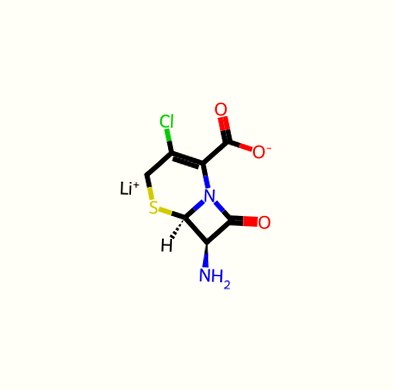 N[C@@H]1C(=O)N2C(C(=O)[O-])=C(Cl)CS[C@H]12.[Li+]